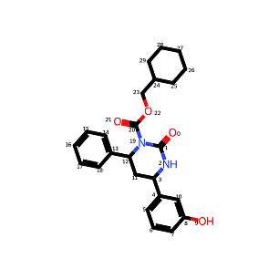 O=C1NC(c2cccc(O)c2)CC(c2ccccc2)N1C(=O)OCC1CCCCC1